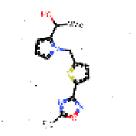 CNC(O)c1cccn1Cc1ccc(-c2noc(C(F)(F)F)n2)s1